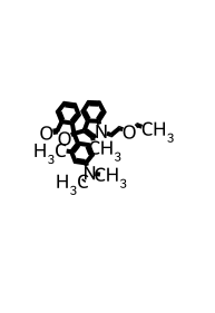 CCOCCn1c(C)c(C2(c3ccc(N(C)C)cc3C)OC(=O)c3ccccc32)c2ccccc21